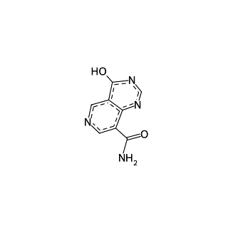 NC(=O)c1cncc2c(O)ncnc12